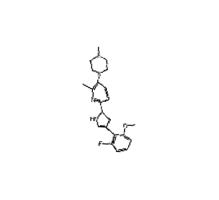 COc1cccc(F)c1C1=CNC(c2ccc(N3CCN(C)CC3)c(C)n2)C1